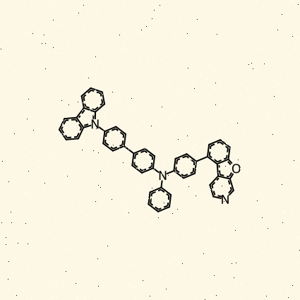 c1ccc(N(c2ccc(-c3ccc(-n4c5ccccc5c5ccccc54)cc3)cc2)c2ccc(-c3cccc4oc5cnccc5c34)cc2)cc1